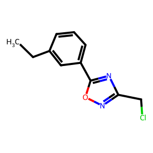 CCc1cccc(-c2nc(CCl)no2)c1